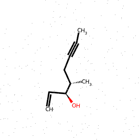 [CH]=C[C@H](O)[C@@H](C)CC#CC